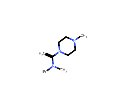 C=C(N1CCN(C)CC1)N(C)C(C)C